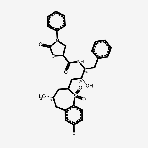 C[C@H]1Cc2cc(F)ccc2S(=O)(=O)C(C[C@@H](O)[C@H](Cc2ccccc2)NC(=O)C2CN(c3ccccc3)C(=O)O2)C1